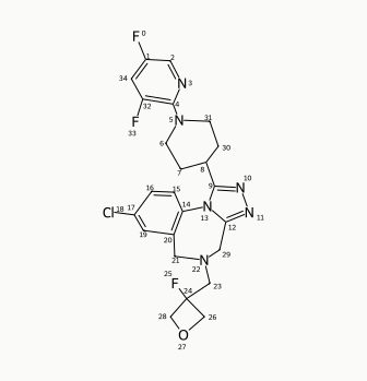 Fc1cnc(N2CCC(c3nnc4n3-c3ccc(Cl)cc3CN(CC3(F)COC3)C4)CC2)c(F)c1